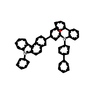 c1ccc(-c2ccc(N(c3cccc(-c4ccc5c(ccc6c5c5ccccc5n6-c5ccccc5)c4)c3)c3ccccc3-c3ccccc3)cc2)cc1